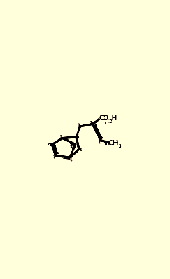 CC=C(CC1CC2C=CC1C2)C(=O)O